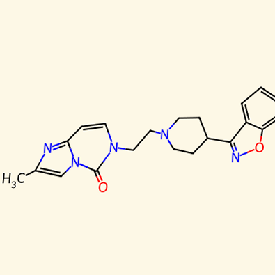 Cc1cn2c(=O)n(CCN3CCC(c4noc5ccccc45)CC3)ccc2n1